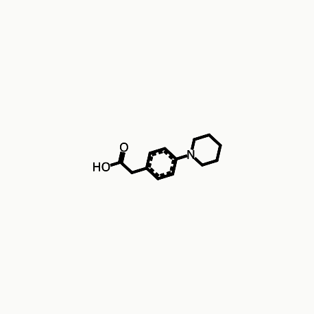 O=C(O)Cc1ccc(N2CCCCC2)cc1